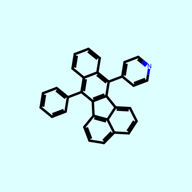 c1ccc(-c2c3c(c(-c4ccncc4)c4ccccc24)-c2cccc4cccc-3c24)cc1